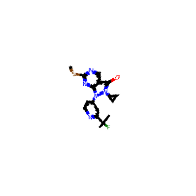 CSc1ncc2c(=O)n(C3CC3)n(-c3ccnc(C(C)(C)F)c3)c2n1